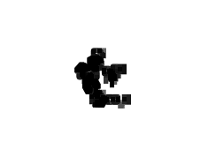 CC1(C(=O)N2OCC[C@H]2c2cncc(C#N)c2)CCN(c2nccc(C(=O)O)n2)CC1.O=C(O)C(F)(F)F